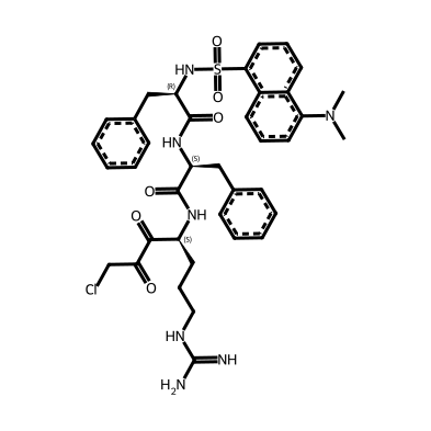 CN(C)c1cccc2c(S(=O)(=O)N[C@H](Cc3ccccc3)C(=O)N[C@@H](Cc3ccccc3)C(=O)N[C@@H](CCCNC(=N)N)C(=O)C(=O)CCl)cccc12